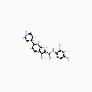 Nc1c(C(=O)Nc2ccc(Cl)cc2Cl)sc2nc(-c3ccncc3)ccc12